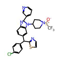 [O-][S+](N1CCC(n2c(-c3cccnc3)nc3ccc(C(c4ccc(Cl)cc4)c4nccs4)cc32)CC1)C(F)(F)F